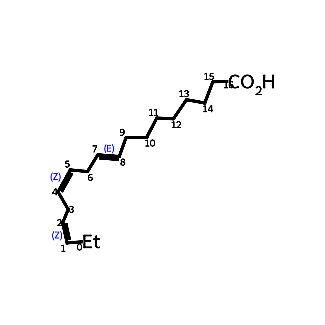 CC/C=C\C/C=C\C/C=C/CCCCCCCC(=O)O